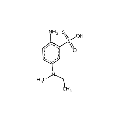 CCN(C)c1ccc(N)c(S(=O)(O)=S)c1